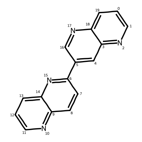 c1cnc2cc(-c3ccc4ncccc4n3)cnc2c1